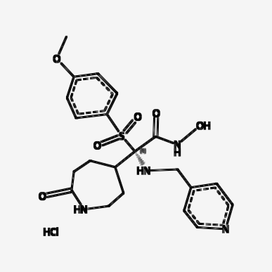 COc1ccc(S(=O)(=O)[C@@](NCc2ccncc2)(C(=O)NO)C2CCNC(=O)CC2)cc1.Cl